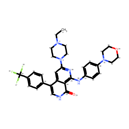 CCN1CCN(c2cc3c(-c4ccc(C(F)(F)F)cc4)c[nH]c(=O)c3c(Nc3ccc(N4CCOCC4)cc3)n2)CC1